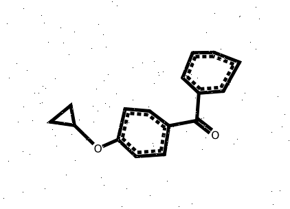 O=C(c1ccccc1)c1ccc(OC2CC2)cc1